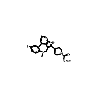 CNC(=O)N1CC=C(c2[nH]c3nccc4c3c2CN(C)c2ccc(F)cc2-4)CC1